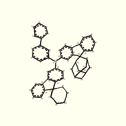 c1ccc(-c2cccc(N(c3ccc4c(c3)-c3ccccc3C43CCCCC3)c3ccc4c(c3)C3(c5ccccc5-4)C4CC5CC(C4)CC3C5)c2)cc1